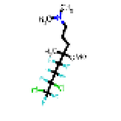 COC(C)(CCCN(C)C)C(F)(F)C(F)(F)C(F)(Cl)C(F)(F)Cl